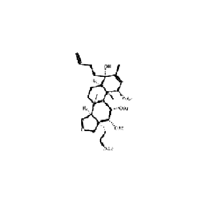 C=CCC[C@@]1(O)C(C)=C[C@@H](OC(C)=O)[C@]2(C)C3[C@H](OC(C)=O)[C@H](OC(C)=O)[C@@]4(CCOC(C)=O)COC[C@H]4[C@]3(C)CC[C@H]21